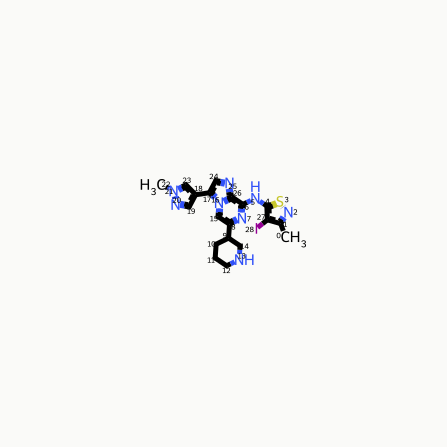 Cc1nsc(Nc2nc(C3CCCNC3)cn3c(-c4cnn(C)c4)cnc23)c1I